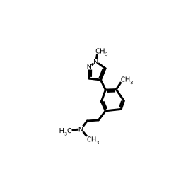 Cc1ccc(CCN(C)C)cc1-c1cnn(C)c1